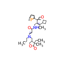 CCCN(/C=C/C(=O)NC/C(C(=C=O)c1ccc2p1C2)=C(\C)C1CCC1)CC1COC(=O)C1(C)CC